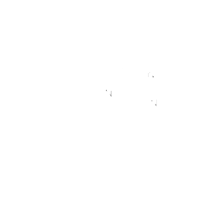 CCC(C)c1nnc2ccccn12